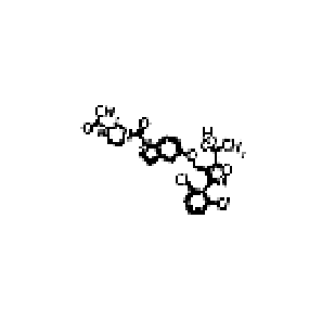 CC(=O)[C@@H]1CCN(C(=O)n2ccc3cc(OCc4c(-c5c(Cl)cccc5Cl)noc4C(C)C)ccc32)C1